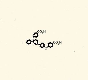 O=C(O)c1ccc(Oc2ccc(C3C=CC(Oc4ccc(C(=O)O)cc4)(c4ccccc4)C=C3)cc2)cc1